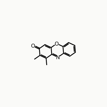 Cc1c2nc3ccccc3oc-2cc(=O)c1C